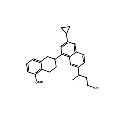 COc1cccc2c1CCN(c1nc(C3CC3)nc3ccc(N(C)CCO)cc13)C2